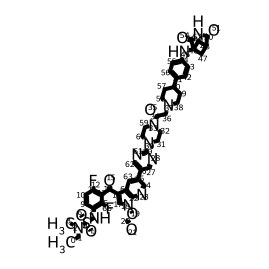 CCN(C)S(=O)(=O)Nc1ccc(F)c(C(=O)c2cn(OC=O)c3ncc(-c4cnc(N5CCN(C(=O)CN6CCC(c7ccc(NC89CC(C8)C(=O)NC9=O)cc7)CC6)CC5)nc4)cc23)c1F